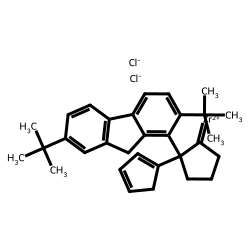 CC(C)(C)c1ccc2c(c1)Cc1c-2ccc(C(C)(C)C)c1C1(C2=CC=CC2)CCC[C]1=[Zr+2].[Cl-].[Cl-]